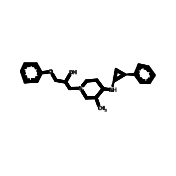 CC1CN(CC(O)COc2ccccc2)CCC1N[C@@H]1C[C@H]1c1ccccc1